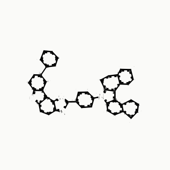 c1ccc(-c2ccc3oc4ccc5nc(-c6ccc(-n7c8ccc9ccccc9c8c8c9ccccc9ccc87)cc6)oc5c4c3c2)cc1